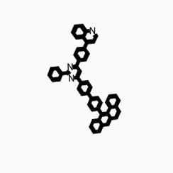 c1ccc(-c2nc(-c3ccc(-c4ccc(-c5c6ccccc6cc6ccc7ccccc7c56)cc4)cc3)cc(-c3ccc(-c4ccnc5ccccc45)cc3)n2)cc1